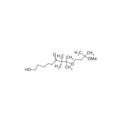 COC(C)(C)CCOC(C)(C)C(C)(C)C(=O)CCCCCO